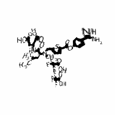 CC(C)C[C@@H](C(=O)N[C@@H](CC(=O)O)C(=O)O)N(C)Cc1ccc(C(=O)Oc2ccc(C(=N)N)cc2)s1.O=C(O)C(F)(F)F.O=C(O)C(F)(F)F